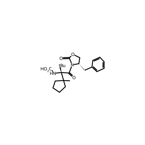 CC(C)(C)[C@@](NC(=O)O)(C(=O)N1C(=O)OC[C@@H]1Cc1ccccc1)C1(C)CCCC1